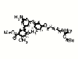 COC(=O)c1cc(-c2cc(Sc3cccc(OCCCCCNC(=O)OC(C)(C)C)c3)nc(N)n2)c(C)cc1C